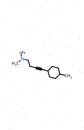 CCCN(C)CCC#CC1CC[C](C)CC1